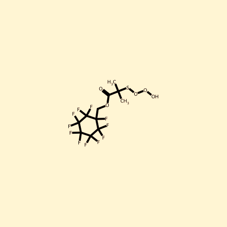 CC(C)(SOOO)C(=O)OCC1(F)C(F)(F)C(F)(F)C(F)(F)C(F)(F)C1(F)F